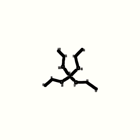 CCO[B-](OCC)(OCC)OCC